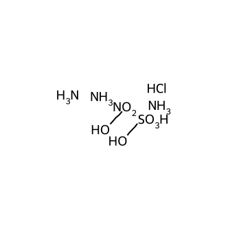 Cl.N.N.N.O=S(=O)(O)O.O=[N+]([O-])O